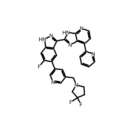 Fc1cc2[nH]nc(-c3nc4c(-c5ccccn5)ccnc4[nH]3)c2cc1-c1cncc(CN2CCC(F)(F)C2)c1